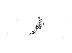 CN(C)C1CCCN(c2ccc(-n3ccc(OCc4ccc(Cl)cn4)cc3=O)c(=O)[nH]2)C1